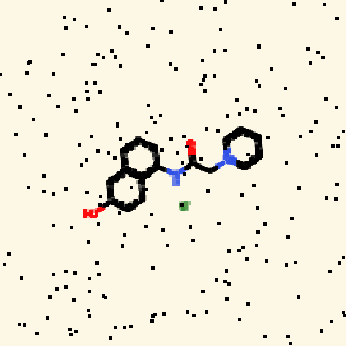 O=C(C[n+]1ccccc1)Nc1cccc2cc(O)ccc12.[Cl-]